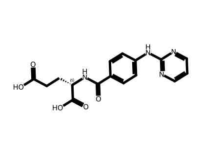 O=C(O)CC[C@H](NC(=O)c1ccc(Nc2ncccn2)cc1)C(=O)O